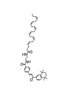 CC/C=C\C/C=C\C/C=C\C/C=C\C/C=C\C/C=C\CCC(=O)NCCNC(=O)c1ccc(/C=C/C(=O)c2ccc3c(c2)C(C)(C)CCC3(C)C)cc1